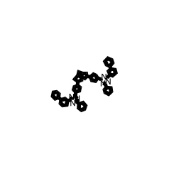 c1ccc(-c2cccc(-c3nc(-c4ccccc4)nc(-c4ccc(C5CC6CC7CC(c8ccc(-c9nc(-c%10ccccc%10)nc(-c%10cccc(-c%11ccccc%11)c%10)n9)cc8)CC67C5)cc4)n3)c2)cc1